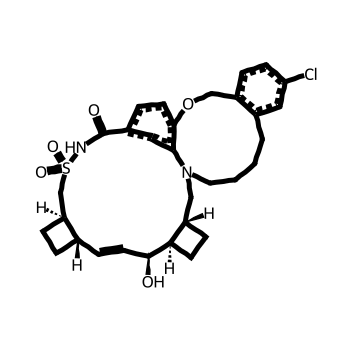 O=C1NS(=O)(=O)C[C@@H]2CC[C@H]2/C=C/[C@H](O)[C@@H]2CC[C@H]2CN2CCCCc3cc(Cl)ccc3COc3ccc1cc32